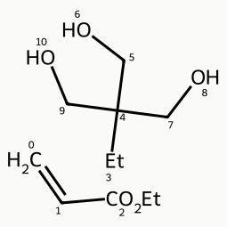 C=CC(=O)OCC.CCC(CO)(CO)CO